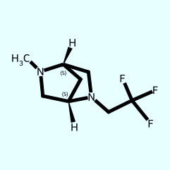 CN1C[C@@H]2C[C@H]1CN2CC(F)(F)F